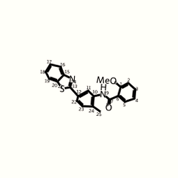 COc1ccccc1C(=O)Nc1cc(-c2nc3ccccc3s2)ccc1C